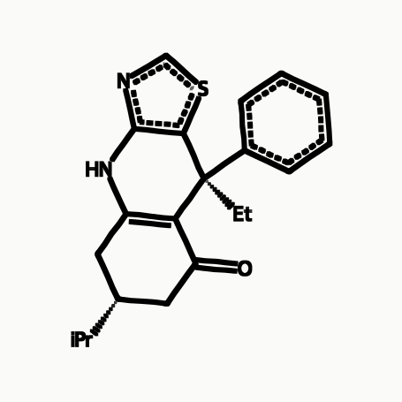 CC[C@]1(c2ccccc2)C2=C(C[C@@H](C(C)C)CC2=O)Nc2ncsc21